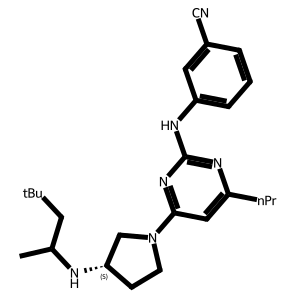 CCCc1cc(N2CC[C@H](NC(C)CC(C)(C)C)C2)nc(Nc2cccc(C#N)c2)n1